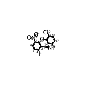 N#Cc1c(F)ccc([N+](=O)[O-])c1Oc1cc(F)ccc1Cl